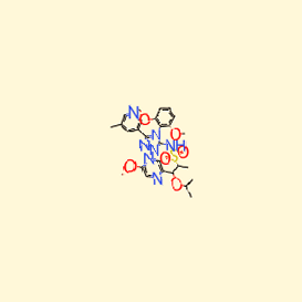 COc1cnc(C(OC(C)C)C(C)S(=O)(=O)Nc2nnc(-c3cncc(C)c3)n2-c2c(OC)cccc2OC)cn1